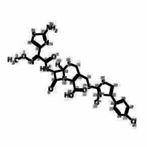 CON=C(C(=O)N[C@@H]1C(=O)N2C(C(=O)O)=C(CSc3scc(-c4ccc(Cl)cc4)[n+]3[O-])CS[C@@H]12)c1csc(N)n1